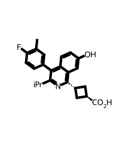 Cc1cc(-c2c(C(C)C)nc([C@H]3C[C@H](C(=O)O)C3)c3cc(O)ccc23)ccc1F